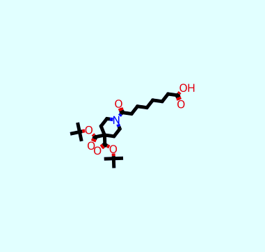 CC(C)(C)OC(=O)C1(C(=O)OC(C)(C)C)CCN(C(=O)CCCCCCC(=O)O)CC1